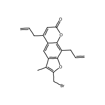 C=CCc1cc(=O)oc2c(CC=C)c3oc(CBr)c(C)c3cc12